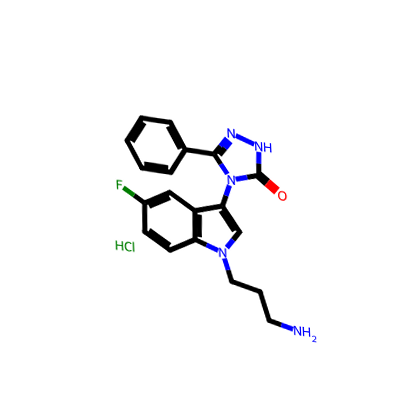 Cl.NCCCn1cc(-n2c(-c3ccccc3)n[nH]c2=O)c2cc(F)ccc21